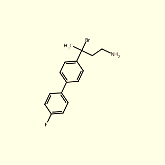 CC(Br)(CCN)c1ccc(-c2ccc(F)cc2)cc1